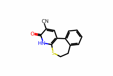 N#Cc1cc2c([nH]c1=O)SCCc1ccccc1-2